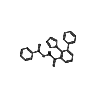 O=C(ONC(=O)c1cccc(-c2ccccc2)c1-n1cccc1)c1ccccc1